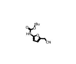 CC(C)(C)OC(=O)Nc1ccc(CC#N)o1